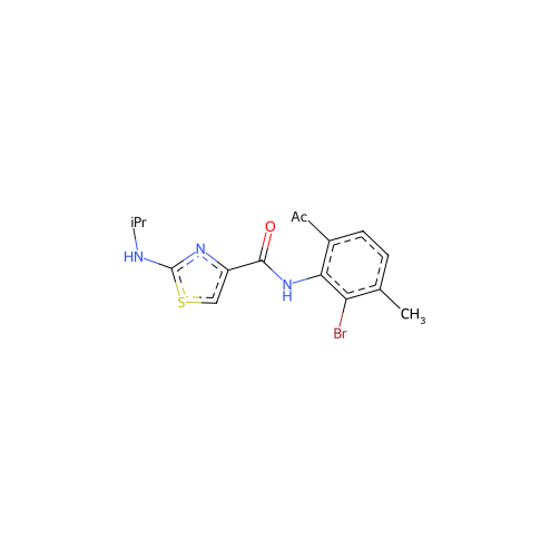 CC(=O)c1ccc(C)c(Br)c1NC(=O)c1csc(NC(C)C)n1